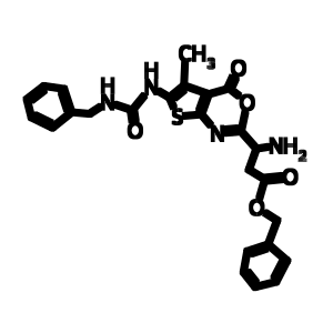 Cc1c(NC(=O)NCc2ccccc2)sc2nc(C(N)CC(=O)OCc3ccccc3)oc(=O)c12